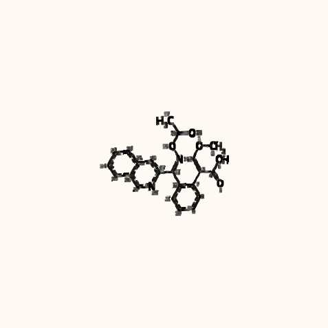 COC=C(C(=O)O)c1ccccc1C(=NOC(C)=O)c1cc2ccccc2cn1